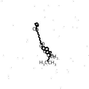 CC(C)CCC[C@@H](C)[C@H]1CCC2C3CC=C4CC(OC(=O)CCCCCCCCCOC(=O)C5CC6C=CC5C6)CC[C@]4(C)C3CC[C@@]21C